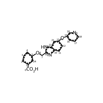 O=C(O)c1cccc(OCc2nc3ccc(Oc4cccnc4)cc3[nH]2)c1